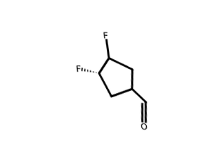 O=CC1CC(F)[C@@H](F)C1